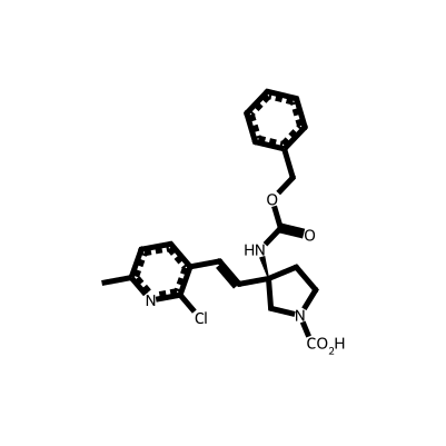 Cc1ccc(/C=C/[C@]2(NC(=O)OCc3ccccc3)CCN(C(=O)O)C2)c(Cl)n1